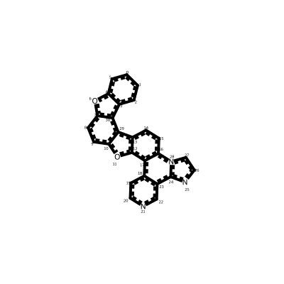 c1ccc2c(c1)oc1ccc3oc4c(ccc5c4c4ccncc4c4nccn54)c3c12